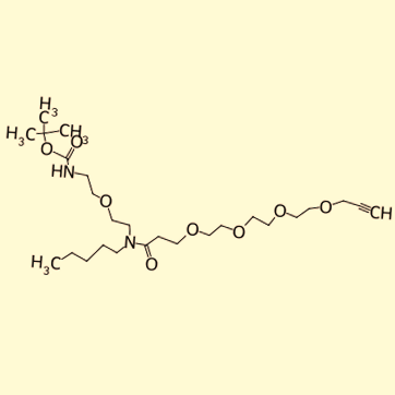 C#CCOCCOCCOCCOCCC(=O)N(CCCCC)CCOCCNC(=O)OC(C)(C)C